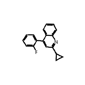 Fc1ccccc1-c1cc(C2CC2)nc2ccccc12